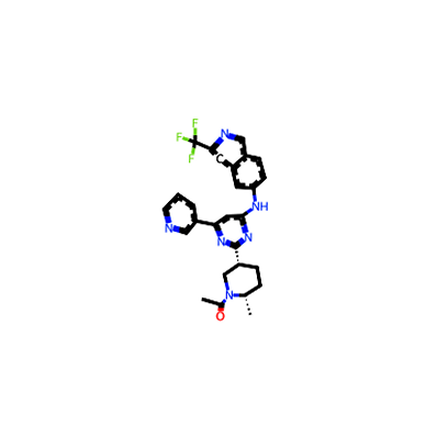 CC(=O)N1C[C@H](c2nc(Nc3ccc4cnc(C(F)(F)F)cc4c3)cc(-c3cccnc3)n2)CC[C@@H]1C